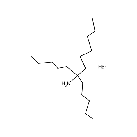 Br.CCCCCCC(N)(CCCCC)CCCCC